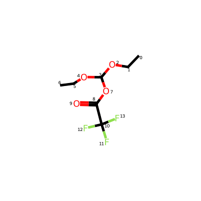 CCOC(OCC)OC(=O)C(F)(F)F